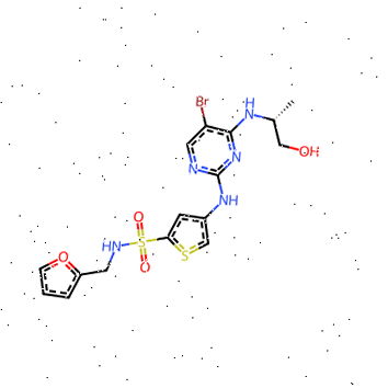 C[C@H](CO)Nc1nc(Nc2csc(S(=O)(=O)NCc3ccco3)c2)ncc1Br